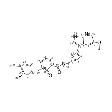 COC1=CC2C(c3ccc(CNC(=O)c4cccn(Cc5ccc(F)c(F)c5)c4=O)s3)=CNC2N=C1